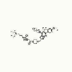 CN(C)CC/C=C/C(=O)NCC(=O)N1CCN(Cc2cc3c(N4CC5(COC5)C4)nc(-c4cnc(N)cc4C(F)(F)F)nn3c2)CC1